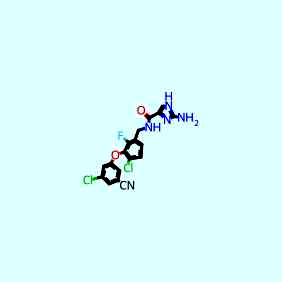 N#Cc1cc(Cl)cc(Oc2c(Cl)ccc(CNC(=O)c3c[nH]c(N)n3)c2F)c1